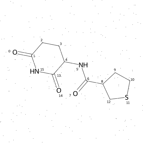 O=C1CCC(NC(=O)C2CCSC2)C(=O)N1